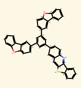 c1ccc2c(c1)oc1ccc(-c3cc(-c4ccc5nc6c(cc5c4)sc4ccccc46)cc(-c4ccc5oc6ccccc6c5c4)c3)cc12